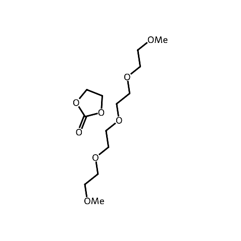 COCCOCCOCCOCCOC.O=C1OCCO1